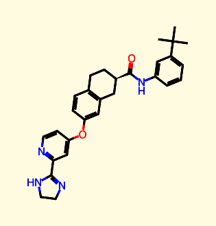 CC(C)(C)c1cccc(NC(=O)[C@@H]2CCc3ccc(Oc4ccnc(C5=NCCN5)c4)cc3C2)c1